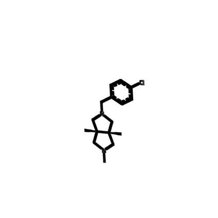 CN1C[C@@]2(C)CN(Cc3ccc(Cl)cc3)C[C@@]2(C)C1